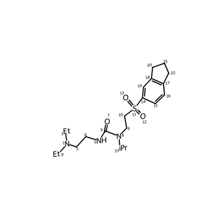 CCN(CC)CCNC(=O)N(CCS(=O)(=O)c1ccc2c(c1)CCC2)C(C)C